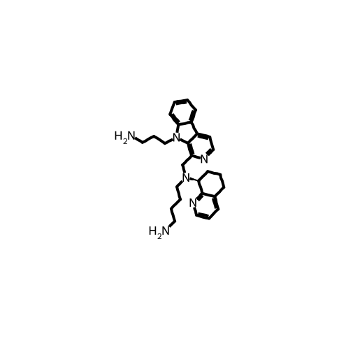 NCCCCN(Cc1nccc2c3ccccc3n(CCCN)c12)[C@H]1CCCc2cccnc21